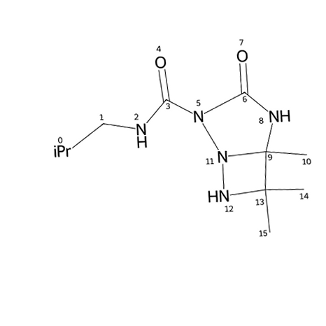 CC(C)CNC(=O)N1C(=O)NC2(C)N1NC2(C)C